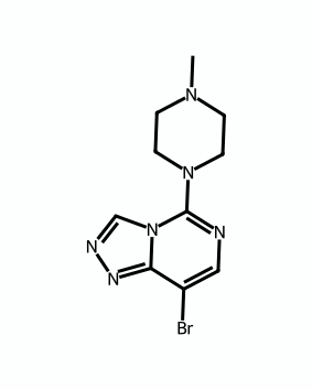 CN1CCN(c2ncc(Br)c3nncn23)CC1